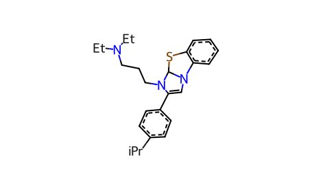 CCN(CC)CCCN1C(c2ccc(C(C)C)cc2)=CN2c3ccccc3SC12